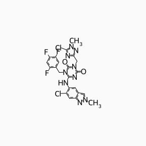 Cn1cc2cc(Nc3nc(=O)n(Cc4nc(Cl)n(C)n4)c(=O)n3Cc3cc(F)c(F)cc3F)c(Cl)cc2n1